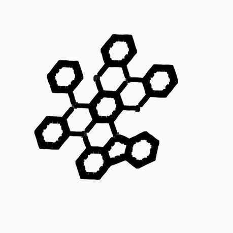 c1ccc(N2c3ccccc3B3c4c2c2c5c(c4-n4c6ccccc6c6cccc3c64)Sc3ccccc3B5c3ccccc3O2)cc1